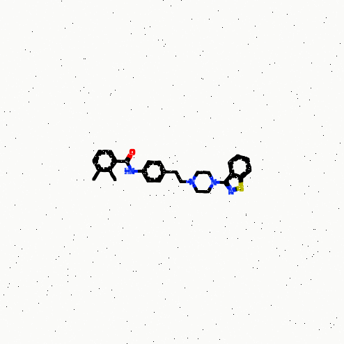 Cc1cccc(C(=O)Nc2ccc(CCN3CCN(c4nsc5ccccc45)CC3)cc2)c1C